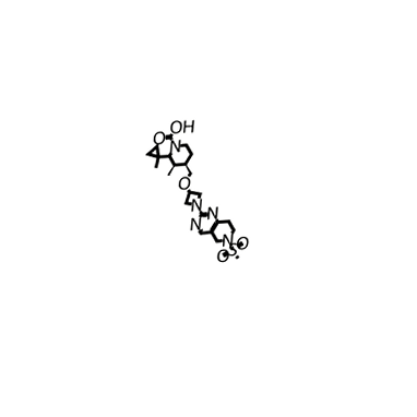 C[C@H]1C(C2(C)CC2)N(C(=O)O)CC[C@H]1COC1CN(c2ncc3c(n2)CCN(S(C)(=O)=O)C3)C1